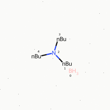 B.CCCCN(CCCC)CCCC